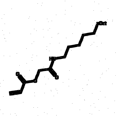 C=CC(=O)OCC(=O)NCCCCCCCCCCCCC